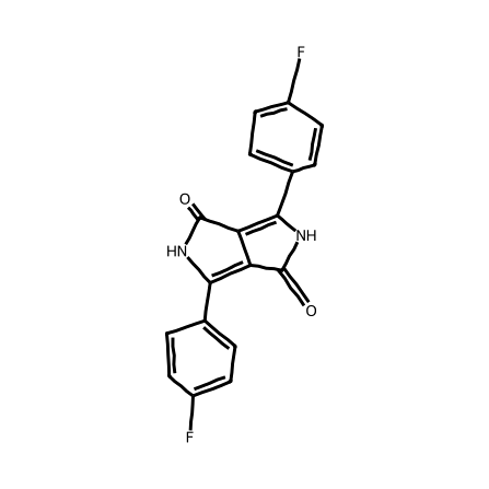 O=C1NC(c2ccc(F)cc2)=C2C(=O)NC(c3ccc(F)cc3)=C12